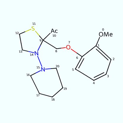 COc1ccccc1OCC1(C(C)=O)SCCN1N1CCCCC1